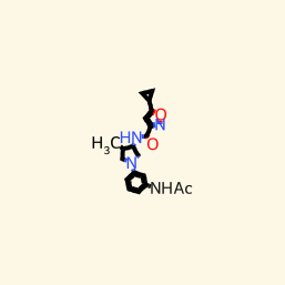 CC(=O)Nc1cccc(N2CC(C)C(NC(=O)c3cc(C4CC4)on3)C2)c1